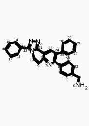 NCc1ccc(-c2nc3ccn4c(-c5ccccc5)nnc4c3cc2-c2ccccc2)cc1